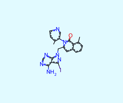 Cc1ccncc1-n1c(Cn2nc(I)c3c(N)ncnc32)cc2cccc(C)c2c1=O